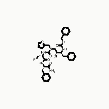 CC(C)C[C@H](NC(=O)N(Cc1ccco1)C[C@@H](O)[C@H](Cc1ccccc1)NC(=O)OCc1ccccc1)C(=O)N[C@@H](Cc1ccccc1)C(N)=O